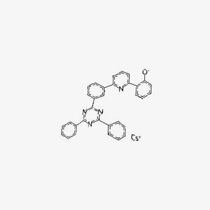 [Cs+].[O-]c1ccccc1-c1cccc(-c2cccc(-c3nc(-c4ccccc4)nc(-c4ccccc4)n3)c2)n1